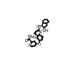 CNC(=O)c1cc(Oc2ccc3nc(N[C@@H]4c5ccccc5C[C@@H]4O)ccc3c2)ccn1